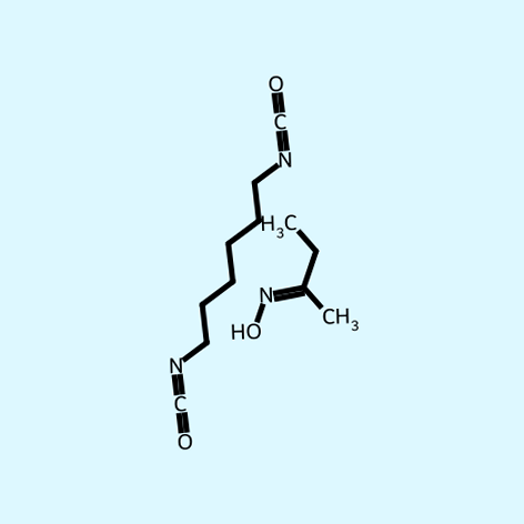 CCC(C)=NO.O=C=NCCCCCCN=C=O